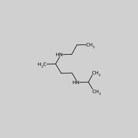 [CH2]C(CCNC(C)C)NCCC